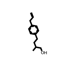 C=CCc1ccc(CCC(C)CO)cc1